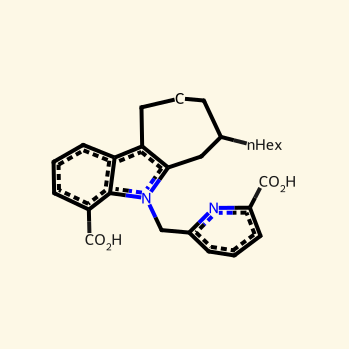 CCCCCCC1CCCc2c(n(Cc3cccc(C(=O)O)n3)c3c(C(=O)O)cccc23)C1